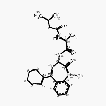 CC(CC(=O)N[C@@H](C)C(=O)NC1N=C(C2CCCCC2)c2ccccc2N(C)C1=O)C(F)(F)F